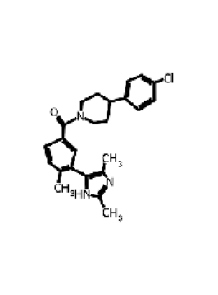 Cc1nc(C)c(-c2cc(C(=O)N3CCC(c4ccc(Cl)cc4)CC3)ccc2C)[nH]1